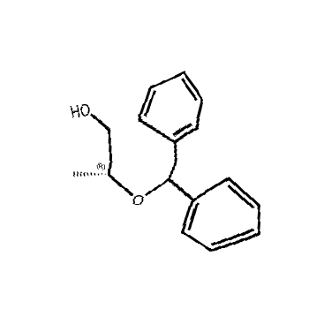 C[C@H](CO)OC(c1ccccc1)c1ccccc1